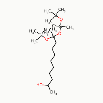 CC(O)CCCCCCC[Si](C)(O[Si](C)(C)C)O[Si](C)(C)O[Si](C)(C)C